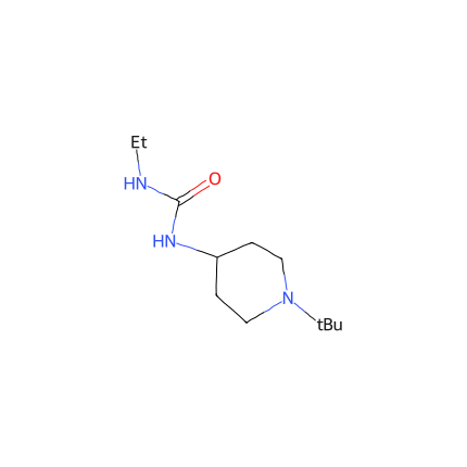 CCNC(=O)NC1CCN(C(C)(C)C)CC1